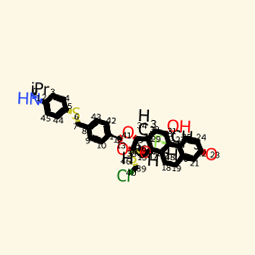 CC(C)Nc1ccc(SCc2ccc([C@@H]3O[C@@H]4C[C@H]5[C@@H]6CCC7=CC(=O)C=C[C@]7(C)[C@@]6(F)[C@@H](O)C[C@]5(C)[C@]4(C(=O)SCCl)O3)cc2)cc1